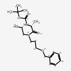 C[C@@H](NC(=O)OC(C)(C)C)C(=O)N(CCO)CCCOCc1ccccc1